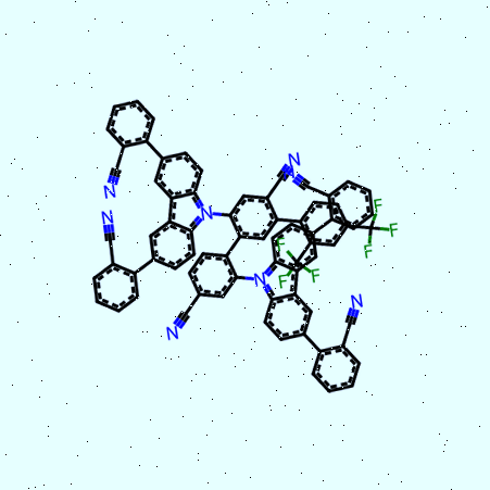 N#Cc1ccc(-c2cc(-c3ccc(C(F)(F)F)cc3C(F)(F)F)c(C#N)cc2-n2c3ccc(-c4ccccc4C#N)cc3c3cc(-c4ccccc4C#N)ccc32)c(-n2c3ccc(-c4ccccc4C#N)cc3c3cc(-c4ccccc4C#N)ccc32)c1